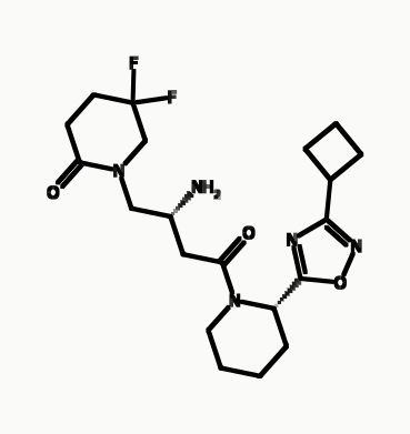 N[C@H](CC(=O)N1CCCC[C@H]1c1nc(C2CCC2)no1)CN1CC(F)(F)CCC1=O